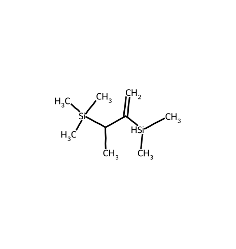 C=C(C(C)[Si](C)(C)C)[SiH](C)C